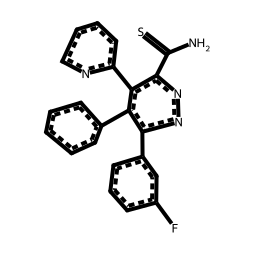 NC(=S)c1nnc(-c2cccc(F)c2)c(-c2ccccc2)c1-c1ccccn1